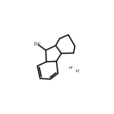 [H-].[H-].[Zr+2][CH]1C2C=CC=CC2C2CCCCC12